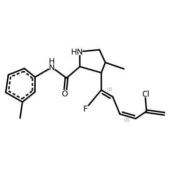 C=C(Cl)/C=C\C=C(/F)C1C(C)CNC1C(=O)Nc1cccc(C)c1